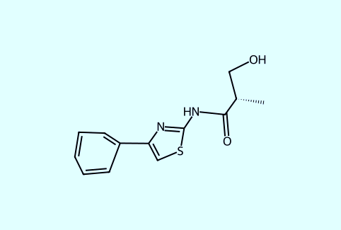 C[C@@H](CO)C(=O)Nc1nc(-c2ccccc2)cs1